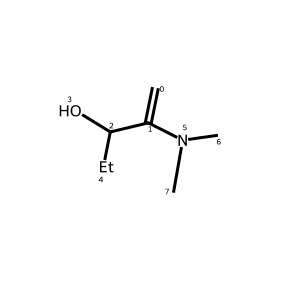 C=C(C(O)CC)N(C)C